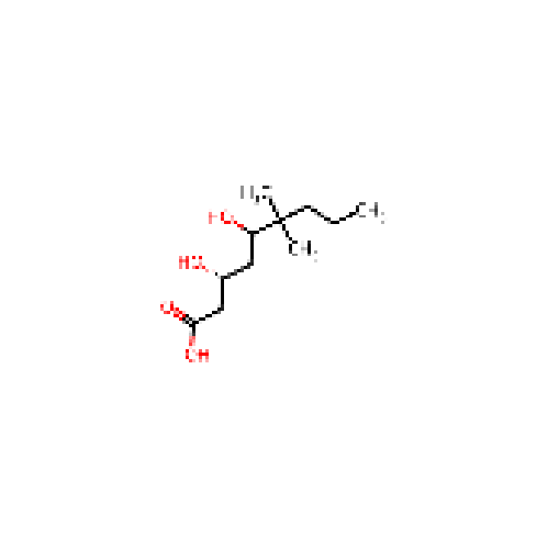 CCCC(C)(C)C(O)C[C@@H](O)CC(=O)O